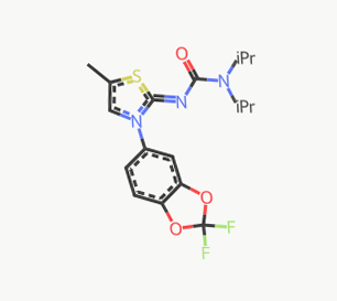 Cc1cn(-c2ccc3c(c2)OC(F)(F)O3)c(=NC(=O)N(C(C)C)C(C)C)s1